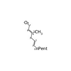 CCCCC/C=C/C/C(C)=C/C[O]